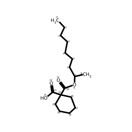 CCCCCCCC(C)OC(=O)C1(C(=O)O)CCCCC1